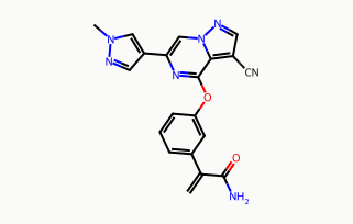 C=C(C(N)=O)c1cccc(Oc2nc(-c3cnn(C)c3)cn3ncc(C#N)c23)c1